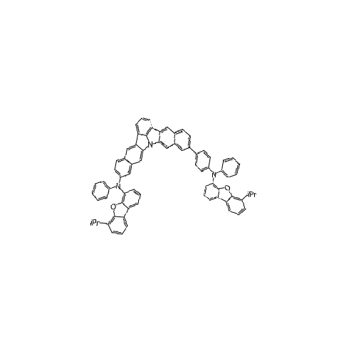 CC(C)c1cccc2c1oc1c(N(c3ccccc3)c3ccc(-c4ccc5cc6c7cccc8c9cc%10ccc(N(c%11ccccc%11)c%11cccc%12c%11oc%11c(C(C)C)cccc%11%12)cc%10cc9n(c6cc5c4)c78)cc3)cccc12